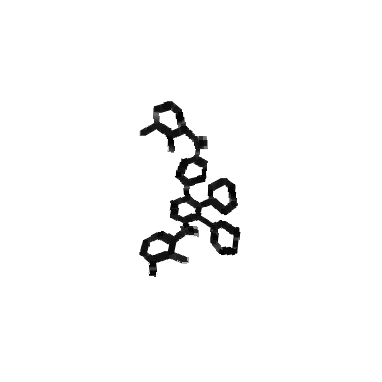 Cc1cccc(Nc2ccc(-c3ccc(Nc4cccc(C)c4C)c(-c4ccccc4)c3-c3ccccc3)cc2)c1C